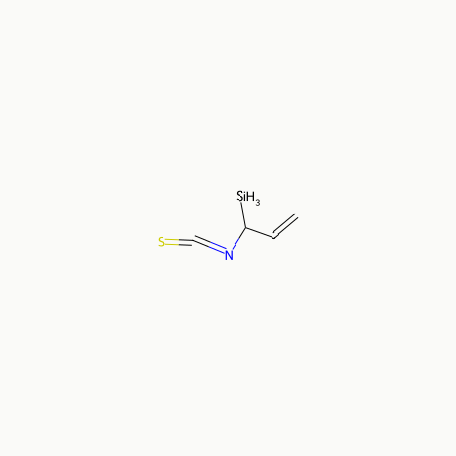 C=CC([SiH3])N=C=S